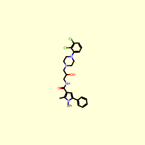 CCCn1c(-c2ccccc2)cc(C(=O)NCC(O)CN2CCN(c3cccc(Cl)c3Cl)CC2)c1C